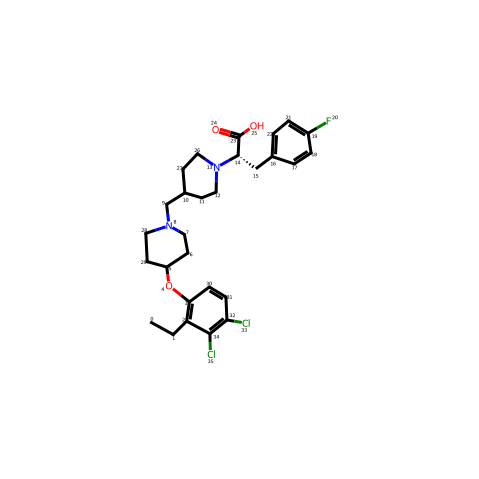 CCc1c(OC2CCN(CC3CCN([C@@H](Cc4ccc(F)cc4)C(=O)O)CC3)CC2)ccc(Cl)c1Cl